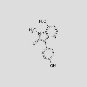 Cc1ccnc2c1n(C)c(=O)n2-c1ccc(O)cc1